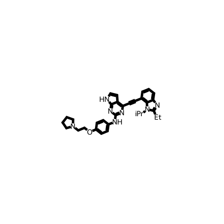 CCc1nc2cccc(C#Cc3nc(Nc4ccc(OCCN5CCCC5)cc4)nc4[nH]ccc34)c2n1C(C)C